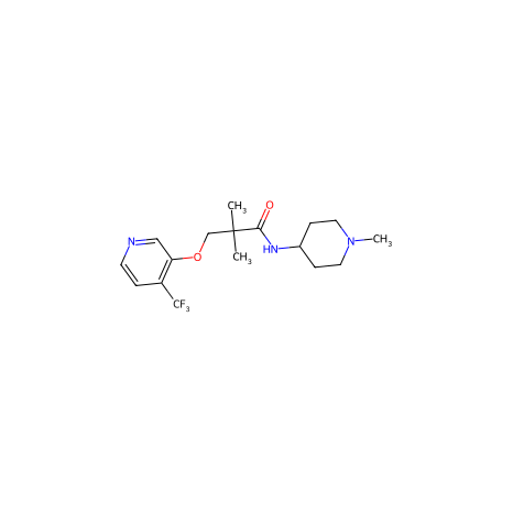 CN1CCC(NC(=O)C(C)(C)COc2cnccc2C(F)(F)F)CC1